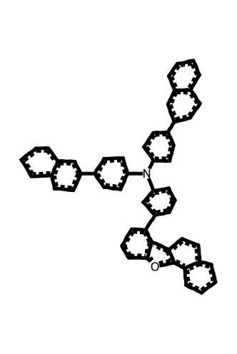 c1cc(-c2cccc3oc4c5ccccc5ccc4c23)cc(N(c2ccc(-c3ccc4ccccc4c3)cc2)c2ccc(-c3ccc4ccccc4c3)cc2)c1